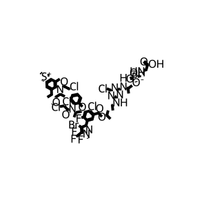 CC(C)OC(=O)c1cc(-c2nn(C)c(C(F)(F)F)c2Br)c(F)cc1Cl.CC1COc2ccccc2N1C(=O)C(Cl)Cl.CCNc1nc(Cl)nc(NC(C)C)n1.CCc1cccc(C)c1N(C(=O)CCl)C(C)COC.C[S+](C)C.O=C(O)CNCP(=O)([O-])O